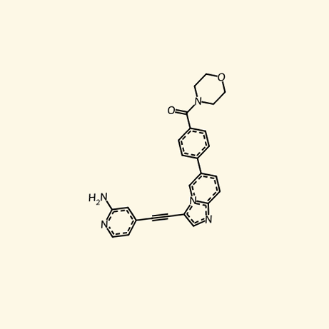 Nc1cc(C#Cc2cnc3ccc(-c4ccc(C(=O)N5CCOCC5)cc4)cn23)ccn1